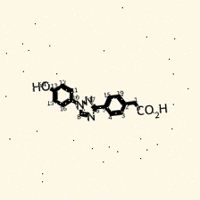 O=C(O)Cc1ccc(-c2ncn(-c3ccc(O)cc3)n2)cc1